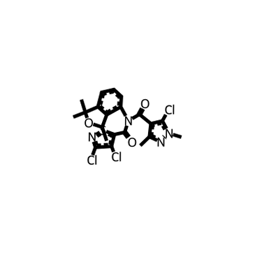 Cc1nn(C)c(Cl)c1C(=O)N(C(=O)c1snc(Cl)c1Cl)c1cccc2c1C(C)OC2(C)C